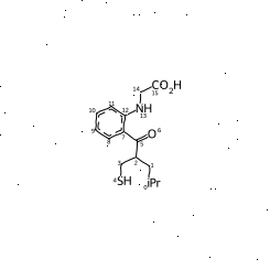 CC(C)CC(CS)C(=O)c1ccccc1NCC(=O)O